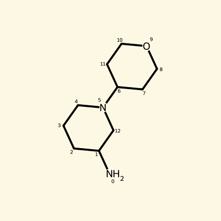 NC1CCCN(C2CCOCC2)C1